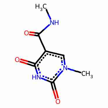 CNC(=O)c1cn(C)c(=O)[nH]c1=O